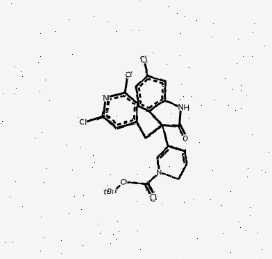 CC(C)(C)OC(=O)N1C=C(C2(Cc3cc(Cl)nc(Cl)c3)C(=O)Nc3cc(Cl)ccc32)C=CC1